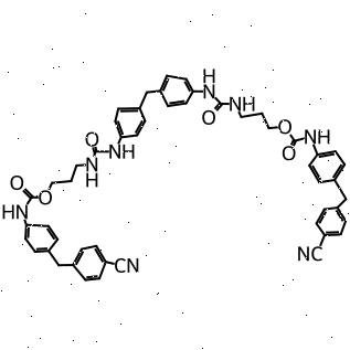 N#Cc1ccc(Cc2ccc(NC(=O)OCCCNC(=O)Nc3ccc(Cc4ccc(NC(=O)NCCCOC(=O)Nc5ccc(Cc6ccc(C#N)cc6)cc5)cc4)cc3)cc2)cc1